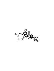 C=CCc1cc(Cl)cc(C(Nc2ccc(C(=N)N)cc2)C(=O)O)c1OCCO